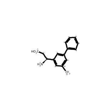 N[C@@H](CC(=O)O)c1cc(-c2ccccc2)cc(C(F)(F)F)c1